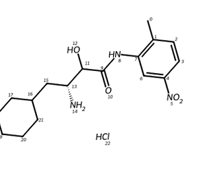 Cc1ccc([N+](=O)[O-])cc1NC(=O)C(O)[C@H](N)CC1CCCCC1.Cl